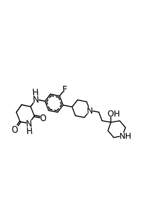 O=C1CCC(Nc2ccc(C3CCN(CCC4(O)CCNCC4)CC3)c(F)c2)C(=O)N1